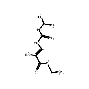 CCOC(=O)C(C)=CNC(=O)NC(C)O